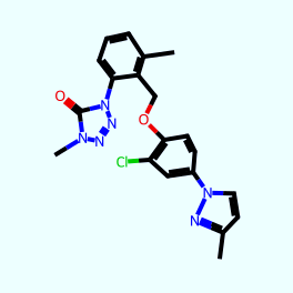 Cc1ccn(-c2ccc(OCc3c(C)cccc3-n3nnn(C)c3=O)c(Cl)c2)n1